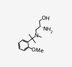 COc1ccccc1C(C)(C)N(C)C[C@@H](N)CO